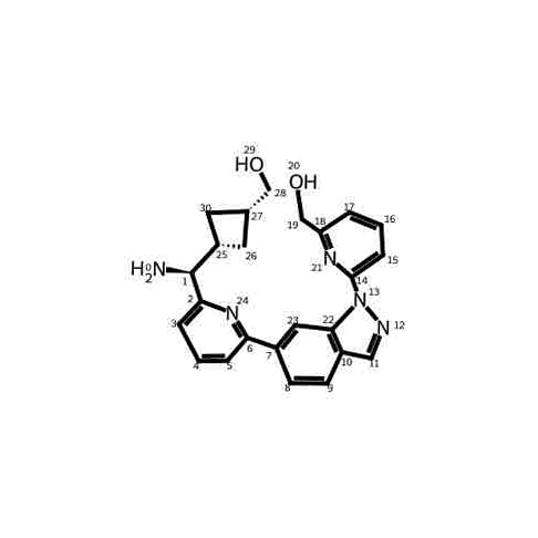 N[C@H](c1cccc(-c2ccc3cnn(-c4cccc(CO)n4)c3c2)n1)[C@H]1C[C@@H](CO)C1